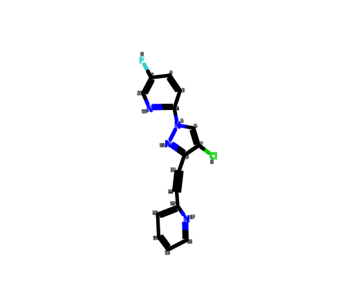 Fc1ccc(-n2cc(Cl)c(C#Cc3ccccn3)n2)nc1